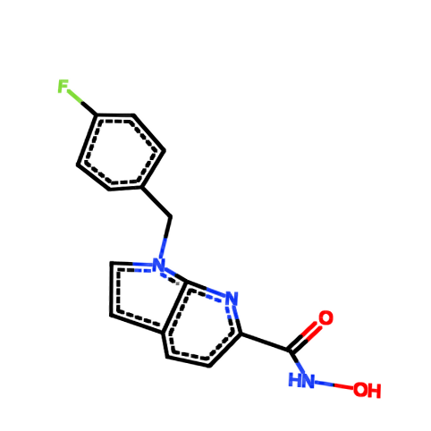 O=C(NO)c1ccc2ccn(Cc3ccc(F)cc3)c2n1